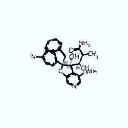 COc1cncc2c1[C@](O)([C@H](O)C(C)C(N)=O)[C@@](Cc1ccccc1)(c1ccc(Br)cc1)O2